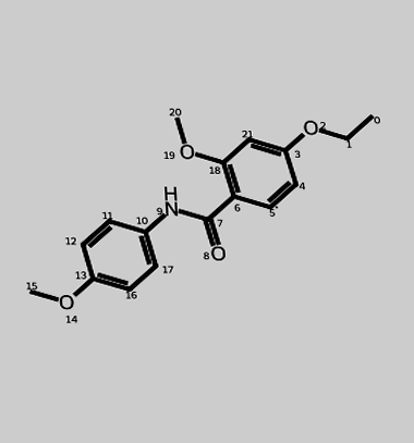 CCOc1c[c]c(C(=O)Nc2ccc(OC)cc2)c(OC)c1